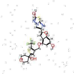 COc1cc(OCc2cc(C3(O)CCOCC3)sc2C(F)(F)F)c2cc(-c3cn4nc(OC)sc4n3)oc2c1